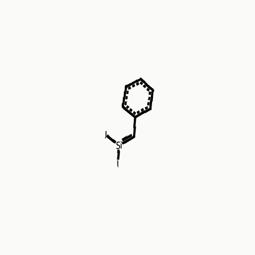 I[Si](I)=Cc1ccccc1